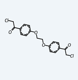 O=C(CCl)c1ccc(OCCOc2ccc(C(=O)CCl)cc2)cc1